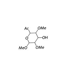 COC1OC(C(C)=O)C(OC)C(O)C1OC